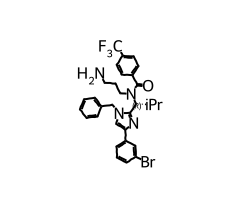 CC(C)[C@H](c1nc(-c2cccc(Br)c2)cn1Cc1ccccc1)N(CCCN)C(=O)c1ccc(C(F)(F)F)cc1